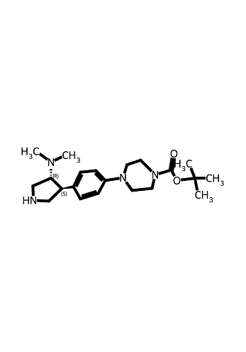 CN(C)[C@H]1CNC[C@@H]1c1ccc(N2CCN(C(=O)OC(C)(C)C)CC2)cc1